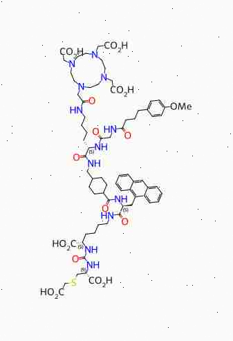 COc1ccc(CCCC(=O)NCC(=O)N[C@@H](CCCCNC(=O)CN2CCN(CC(=O)O)CCN(CC(=O)O)CCN(CC(=O)O)CC2)C(=O)NCC2CCC(C(=O)N[C@@H](Cc3c4ccccc4cc4ccccc34)C(=O)NCCCC[C@H](NC(=O)N[C@@H](CSCC(=O)O)C(=O)O)C(=O)O)CC2)cc1